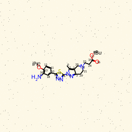 Cc1c2c(nn1-c1nnc(-c3ccc(OC(C)C)c(N)c3)s1)CCN(CCC(=O)OC(C)(C)C)C2